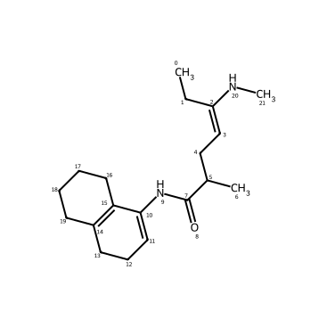 CC/C(=C\CC(C)C(=O)NC1=CCCC2=C1CCCC2)NC